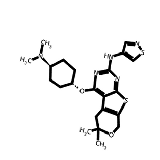 CN(C)[C@H]1CC[C@H](Oc2nc(Nc3cnsc3)nc3sc4c(c23)CC(C)(C)OC4)CC1